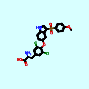 COc1ccc(S(=O)(=O)c2c[nH]c3ccc(Oc4c(Cl)cc(C[C@@H](N)C(=O)O)cc4Cl)cc23)cc1